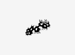 CCC1C=C(C2=CC(c3ccc4ccc5cccc6ccc3c4c56)CC=C2)c2ccc3c(c2N1)NC(C)C=C3